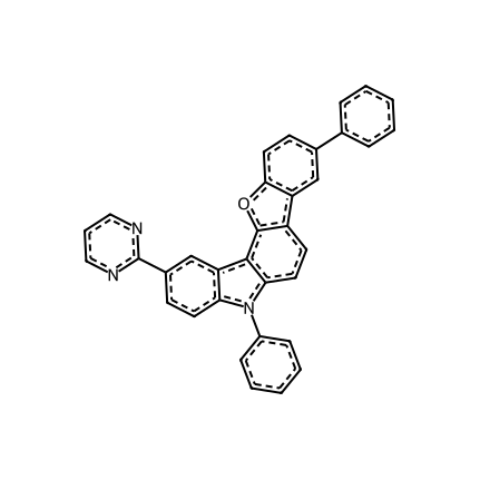 c1ccc(-c2ccc3oc4c(ccc5c4c4cc(-c6ncccn6)ccc4n5-c4ccccc4)c3c2)cc1